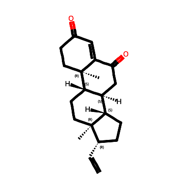 C=C[C@H]1CC[C@H]2[C@@H]3CC(=O)C4=CC(=O)CC[C@]4(C)[C@H]3CC[C@]12C